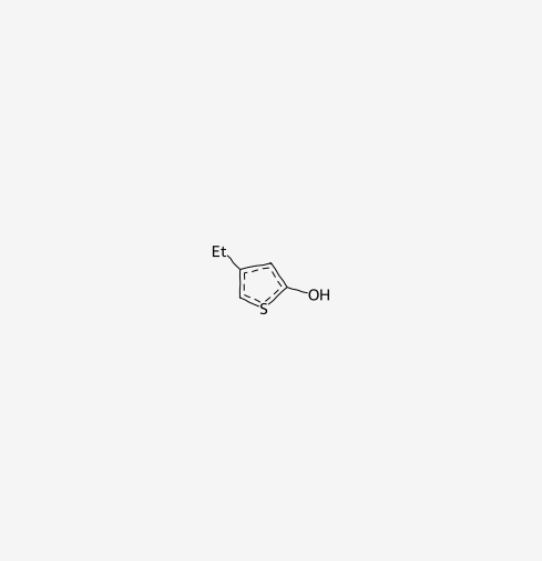 CCc1csc(O)c1